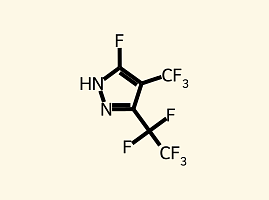 Fc1[nH]nc(C(F)(F)C(F)(F)F)c1C(F)(F)F